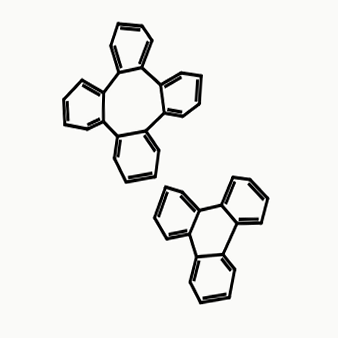 c1ccc2c(c1)-c1ccccc1-c1ccccc1-c1ccccc1-2.c1ccc2c(c1)c1ccccc1c1ccccc21